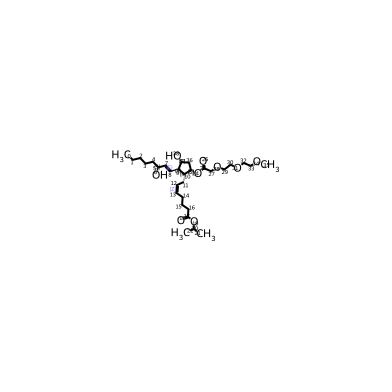 CCCCC[C@H](O)/C=C/[C@@H]1[C@@H](C/C=C\CCCC(=O)OC(C)C)[C@@H](OC(=O)COCCOCCOC)C[C@H]1O